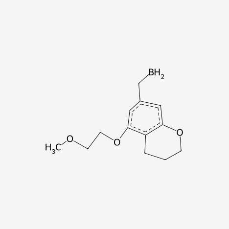 BCc1cc2c(c(OCCOC)c1)CCCO2